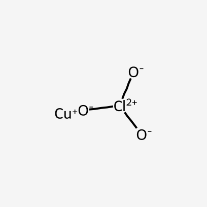 [Cu+].[O-][Cl+2]([O-])[O-]